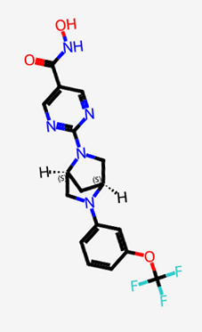 O=C(NO)c1cnc(N2C[C@@H]3C[C@H]2CN3c2cccc(OC(F)(F)F)c2)nc1